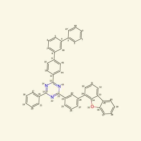 c1ccc(-c2cccc(-c3ccc(-c4nc(-c5ccccc5)nc(-c5cccc(-c6cccc7c6oc6ccccc67)c5)n4)cc3)c2)cc1